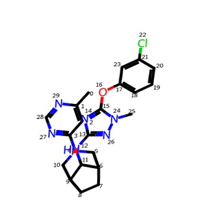 Cc1cc(N2CC3CCC(C2)C3Nc2nc(Oc3cccc(Cl)c3)n(C)n2)ncn1